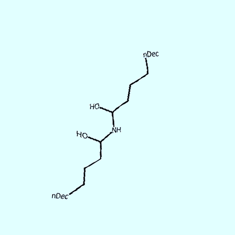 CCCCCCCCCCCCCC(O)NC(O)CCCCCCCCCCCCC